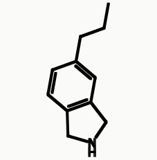 CCCc1ccc2c(c1)CNC2